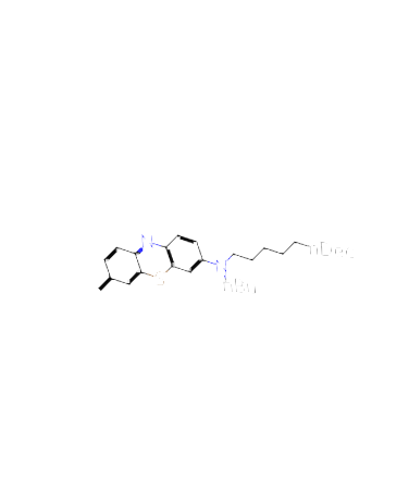 C=c1ccc2c(c1)Sc1cc(N(CCCC)CCCCCCCCCCCCCCC)ccc1N=2